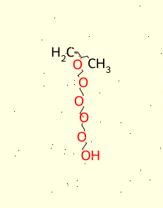 C=CC(CC)OCCOCCOCCOCCOCCO